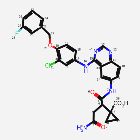 NC(=O)CC(C(=O)Nc1ccc2ncnc(Nc3ccc(OCc4cccc(F)c4)c(Cl)c3)c2c1)C1(C(=O)O)CC1